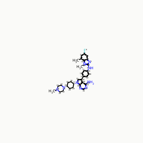 Cc1cc(F)cc2nc(Nc3ccc(-c4cn([C@H]5CC[C@@H](N6CCN(C)CC6)CC5)c5ncnc(N)c45)cc3)n(C)c12